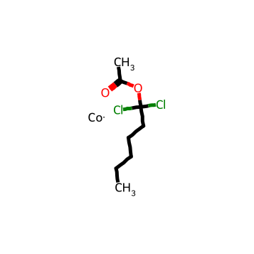 CCCCCC(Cl)(Cl)OC(C)=O.[Co]